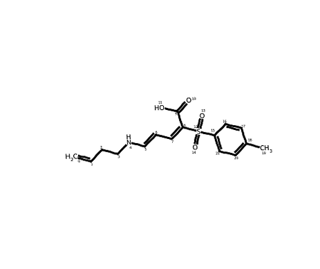 C=CCCNC=CC=C(C(=O)O)S(=O)(=O)c1ccc(C)cc1